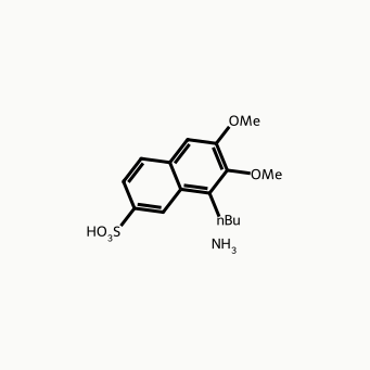 CCCCc1c(OC)c(OC)cc2ccc(S(=O)(=O)O)cc12.N